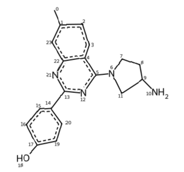 Cc1ccc2c(N3CCC(N)C3)nc(-c3ccc(O)cc3)nc2c1